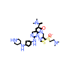 C=C(c1cc2cnc(Nc3ccc(NC4CCNCC4)cc3)nc2n(Cc2ncsc2[S+]([O-])CCN(C)C)c1=O)N(C)C